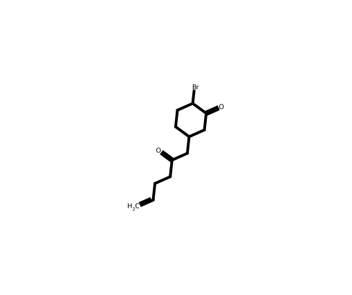 C=CCCC(=O)CC1CCC(Br)C(=O)C1